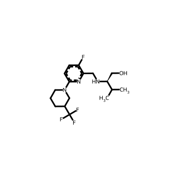 CC(C)[C@H](CO)NCc1nc(N2CCCC(C(F)(F)F)C2)ccc1F